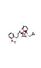 COc1ccc2c3c1O[C@H]1[C@@]4(OC)CCC2[C@@H]2[C@@H](C[C@@H]4[C@H](NC(C)C(N)=O)c4ccccc4)[C@@]31CCN2CC1CC1